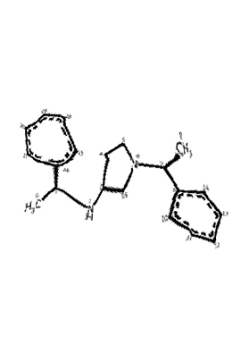 CC(NC1CCN(C(C)c2ccccc2)C1)c1ccccc1